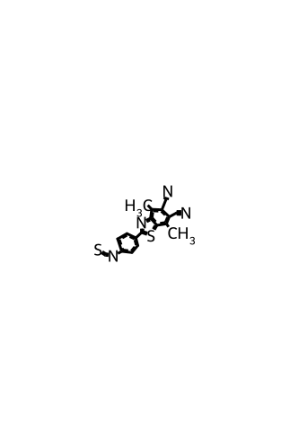 Cc1c(C#N)c(C#N)c(C)c2sc(-c3ccc(N=C=S)cc3)nc12